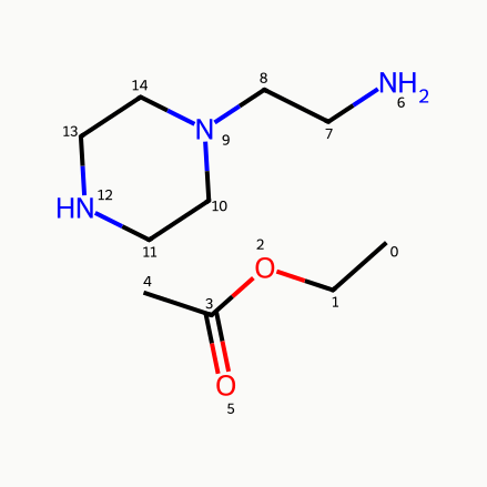 CCOC(C)=O.NCCN1CCNCC1